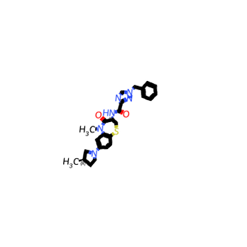 C[C@@H]1CCN(c2ccc3c(c2)N(C)C(=O)[C@@H](NC(=O)c2ncn(Cc4ccccc4)n2)CS3)C1